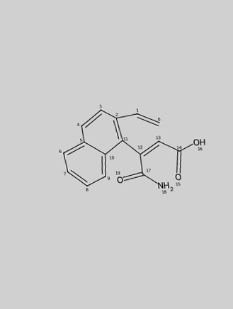 C=Cc1ccc2ccccc2c1C(=CC(=O)O)C(N)=O